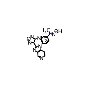 C/C(=N\O)c1ccc(-n2c(-c3nonc3N)nc3cnccc32)cc1